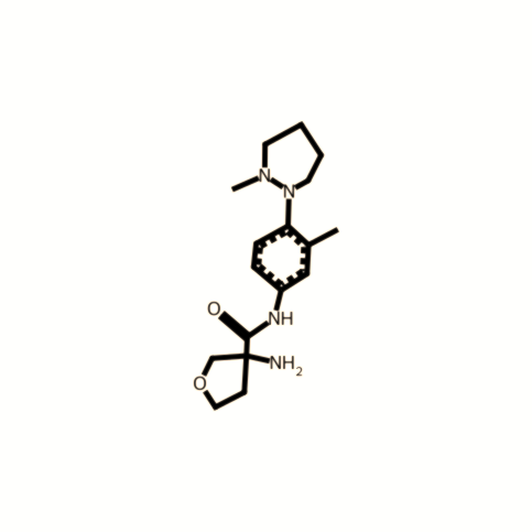 Cc1cc(NC(=O)C2(N)CCOC2)ccc1N1CCCCN1C